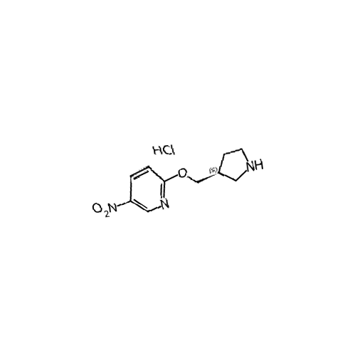 Cl.O=[N+]([O-])c1ccc(OC[C@H]2CCNC2)nc1